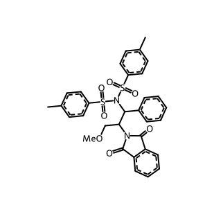 COCC(C(c1ccccc1)N(S(=O)(=O)c1ccc(C)cc1)S(=O)(=O)c1ccc(C)cc1)N1C(=O)c2ccccc2C1=O